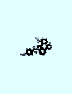 CCOc1ccccc1-c1cn(S(=O)(=O)c2ccc(C)cc2)c2nccc(-c3ccsc3)c12